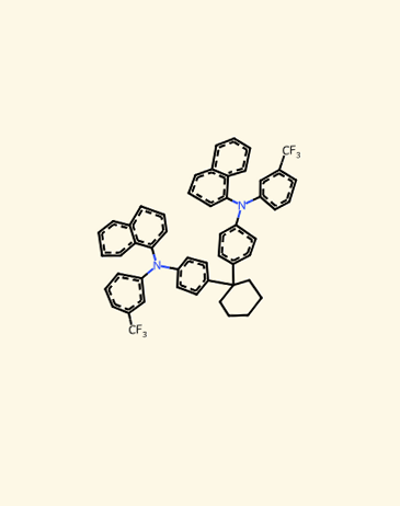 FC(F)(F)c1cccc(N(c2ccc(C3(c4ccc(N(c5cccc(C(F)(F)F)c5)c5cccc6ccccc56)cc4)CCCCC3)cc2)c2cccc3ccccc23)c1